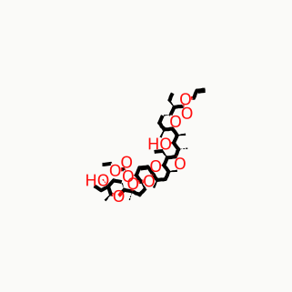 C=CCOC(=O)[C@H](CC)[C@H]1CC[C@H](C)[C@H]([C@@H](C)[C@H](O)[C@H](C)C(=O)[C@H](CC)[C@H]2O[C@]3(C=C[C@@H](OC(=O)OCC)[C@]4(CC[C@@](C)([C@H]5CC[C@](O)(CC)[C@H](C)O5)O4)O3)[C@H](C)C[C@@H]2C)O1